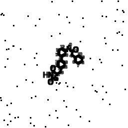 CN(C(=O)Cc1ccccc1)c1cccc(-c2ccc(CC3SC(=O)NC3=O)cc2)c1